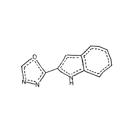 c1ccc2[nH]c(-c3nnco3)cc2c1